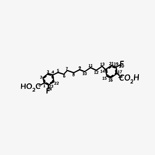 O=C(O)c1ccc(CCCCCCCCCc2ccc(C(=O)O)c(F)c2)cc1F